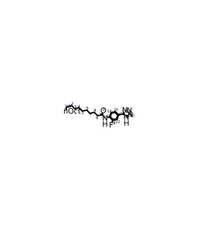 CCCCCCCC/C=C\CCCCCCCC(=O)Nc1ccc(-c2nnn[nH]2)cc1F